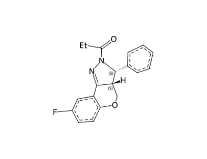 CCC(=O)N1N=C2c3cc(F)ccc3OC[C@H]2[C@H]1c1ccccc1